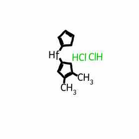 CC1=C(C)C[C]([Hf][C]2=CC=CC2)=C1.Cl.Cl